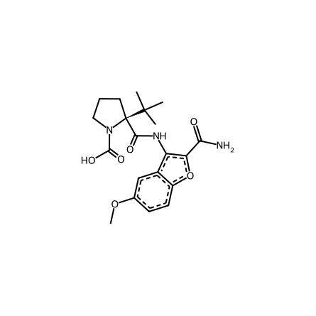 COc1ccc2oc(C(N)=O)c(NC(=O)[C@@]3(C(C)(C)C)CCCN3C(=O)O)c2c1